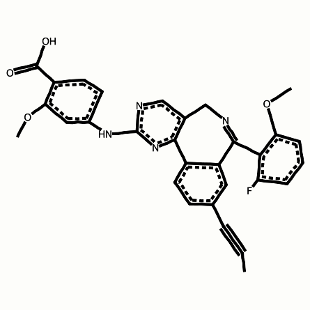 CC#Cc1ccc2c(c1)C(c1c(F)cccc1OC)=NCc1cnc(Nc3ccc(C(=O)O)c(OC)c3)nc1-2